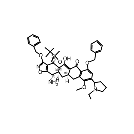 CCN1CCCC1c1cc(OCc2ccccc2)c2c(c1OC)C[C@H]1C[C@H]3[C@H](N)c4onc(OCc5ccccc5)c4C(=O)[C@@]3(O[Si](C)(C)C(C)(C)C)C(O)=C1C2=O